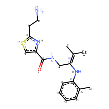 CC/C(C)=C(/CNC(=O)c1csc(CCN)n1)Nc1ccccc1C